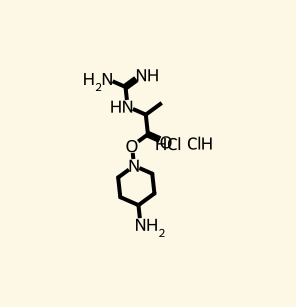 CC(NC(=N)N)C(=O)ON1CCC(N)CC1.Cl.Cl